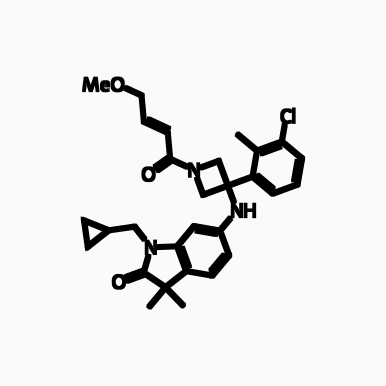 COC/C=C/C(=O)N1CC(Nc2ccc3c(c2)N(CC2CC2)C(=O)C3(C)C)(c2cccc(Cl)c2C)C1